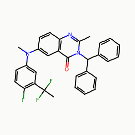 Cc1nc2ccc(N(C)c3ccc(F)c(C(C)(F)F)c3)cc2c(=O)n1C(c1ccccc1)c1ccccc1